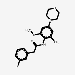 COc1cc(N2CCOCC2)cc(C)c1NC(=O)Cc1cccc(F)c1